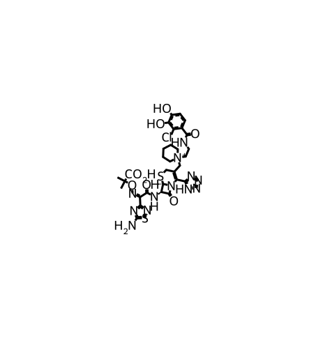 CC(C)(O/N=C(\C(=O)N[C@@H]1C(=O)N2C(c3nnn[nH]3)=C(C[N+]3(CCNC(=O)c4ccc(O)c(O)c4Cl)CCCCC3)CS[C@H]12)c1nsc(N)n1)C(=O)O